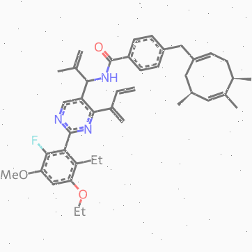 C=CC(=C)c1nc(-c2c(F)c(OC)cc(OCC)c2CC)ncc1C(NC(=O)c1ccc(C/C2=C/C[C@@H](C)/C(C)=C\[C@@H](C)C2)cc1)C(=C)C